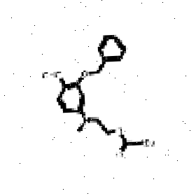 CN(CCOC(=O)C(C)(C)C)c1ccc(C=O)c(OCc2ccccc2)c1